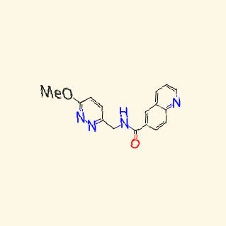 COc1ccc(CNC(=O)c2ccc3ncccc3c2)nn1